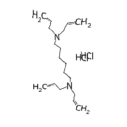 C=CCN(CC=C)CCCCCCN(CC=C)CC=C.Cl.Cl